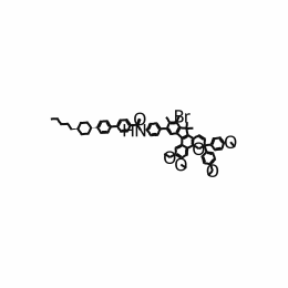 CCCCC[C@H]1CC[C@H](c2ccc(-c3ccc(C(=O)Nc4ccc(-c5cc6c(c(Br)c5C)C(C)(C)c5c7c(c8cc(OC)c(OC)cc8c5-6)OC(c5ccc(OC)cc5)(c5ccc(OC)cc5)C=C7)cc4)cc3)cc2)CC1